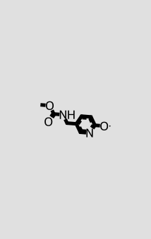 COC(=O)NCc1ccc([O])nc1